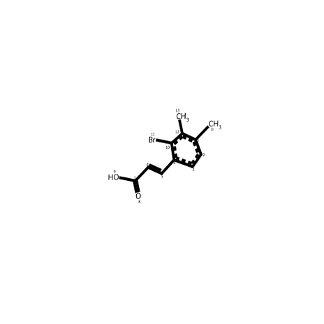 Cc1ccc(/C=C/C(=O)O)c(Br)c1C